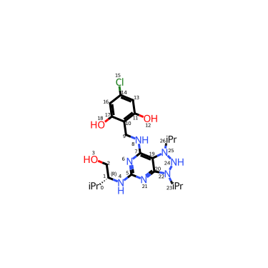 CC(C)[C@H](CO)Nc1nc(NCc2c(O)cc(Cl)cc2O)c2c(n1)N(C(C)C)NN2C(C)C